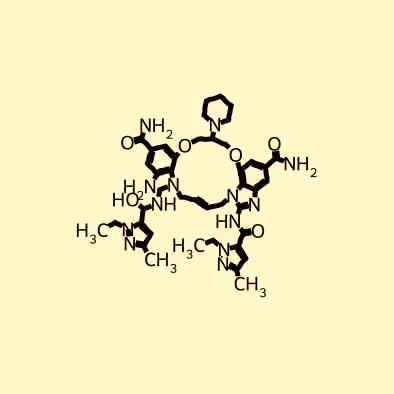 CCn1nc(C)cc1C(=O)Nc1nc2cc(C(N)=O)cc3c2n1C/C=C/CN(CNC(O)c1cc(C)nn1CC)c1c(N)cc(C(N)=O)cc1OCC(N1CCCCC1)CO3